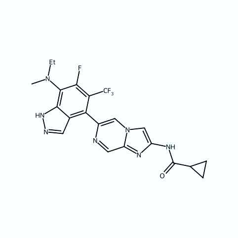 CCN(C)c1c(F)c(C(F)(F)F)c(-c2cn3cc(NC(=O)C4CC4)nc3cn2)c2cn[nH]c12